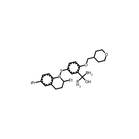 BC(B)(O)c1cc(SN2c3ccc(C(C)C)cc3CCC2CC)ccc1OCC1CCOCC1